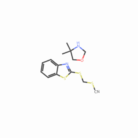 CC1(C)COCN1.N#CSCSc1nc2ccccc2s1